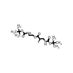 CC(C)(C)OC(=O)NCCOC(=O)C(F)CNC(=O)OC(C)(C)C